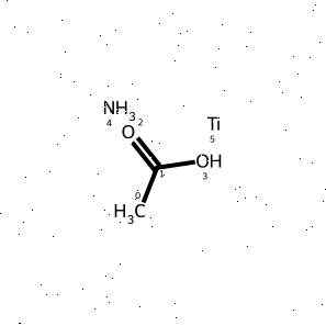 CC(=O)O.N.[Ti]